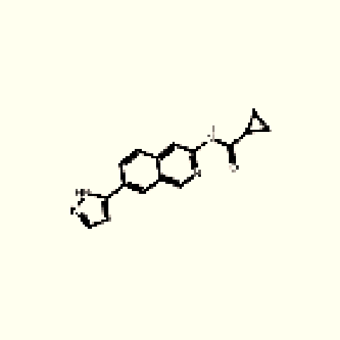 O=C(Nc1cc2ccc(-c3ccn[nH]3)cc2cn1)C1CC1